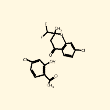 CC(=O)c1ccc(Cl)cc1O.CC1(C(F)F)CC(=O)c2ccc(Cl)cc2O1